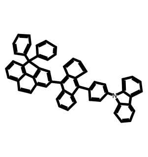 c1ccc(C2(c3ccccc3)c3cccc4ccc5cc(-c6c7ccccc7c(-c7ccc(-n8c9ccccc9c9ccccc98)cc7)c7ccccc67)cc2c5c34)cc1